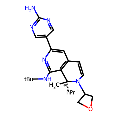 CCC[C@]1(C)c2c(cc(-c3cnc(N)nc3)nc2NC(C)(C)C)C=CN1C1COC1